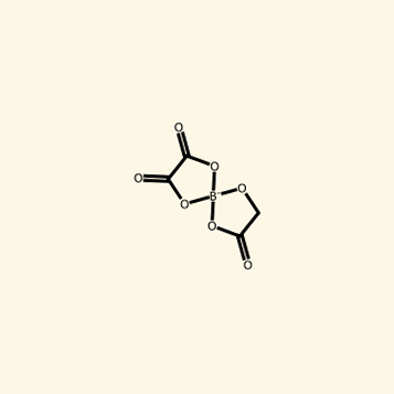 O=C1CO[B-]2(O1)OC(=O)C(=O)O2